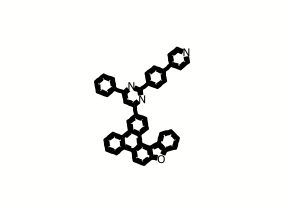 c1ccc(-c2cc(-c3ccc4c(c3)c3ccccc3c3ccc5oc6ccccc6c5c34)nc(-c3ccc(-c4ccncc4)cc3)n2)cc1